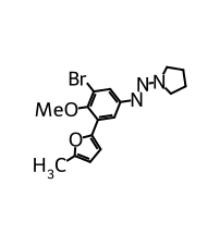 COc1c(Br)cc(/N=N/N2CCCC2)cc1-c1ccc(C)o1